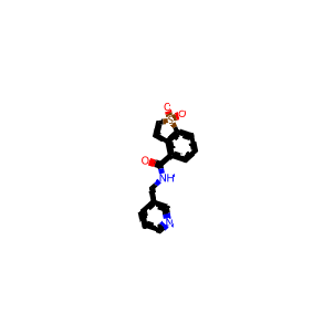 O=C(NCc1cccnc1)c1cccc2c1C=CS2(=O)=O